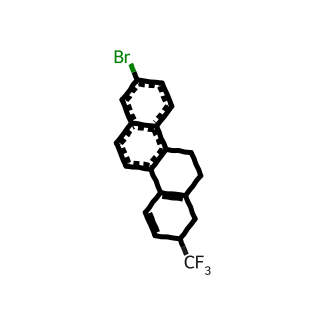 FC(F)(F)C1C=CC2=C(CCc3c2ccc2cc(Br)ccc32)C1